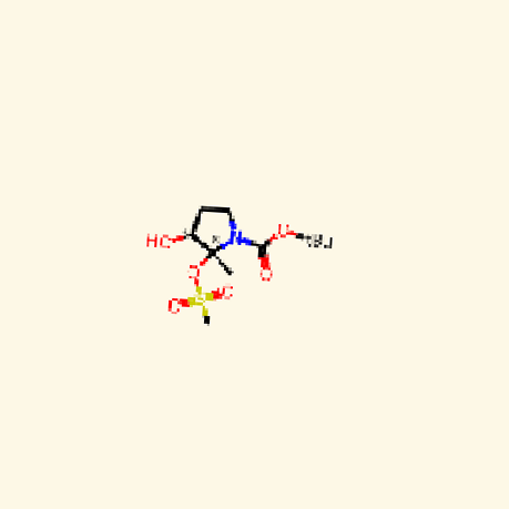 CC(C)(C)OC(=O)N1CC[C@H](O)[C@@]1(C)OS(C)(=O)=O